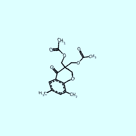 CC(=O)OCC1(COC(C)=O)COc2c(C)cc(C)cc2C1=O